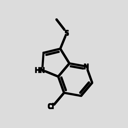 CSc1c[nH]c2c(Cl)ccnc12